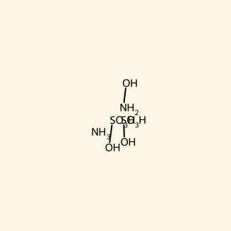 N.NO.O=S(=O)(O)O.O=S(=O)(O)O